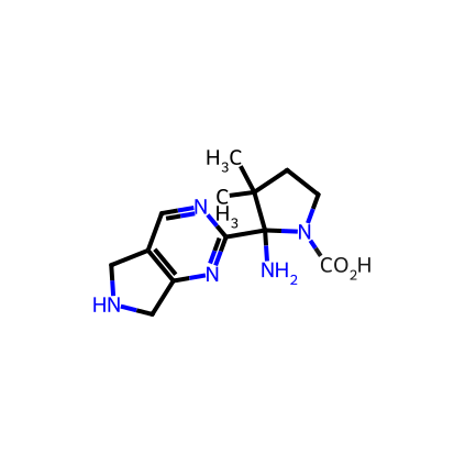 CC1(C)CCN(C(=O)O)C1(N)c1ncc2c(n1)CNC2